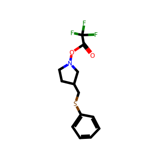 O=C(ON1CCC(CSc2ccccc2)C1)C(F)(F)F